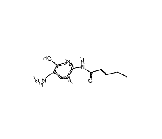 CCCCC(=O)Nc1ncc(N)c(O)n1